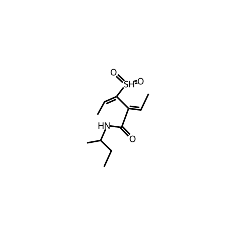 C/C=C(C(=O)NC(C)CC)\C(=C/C)[SH](=O)=O